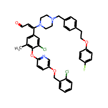 Cc1cc(/C(=C\C=O)N2CCN(Cc3ccc(CCOc4ccc(F)cc4)cc3)CC2)cc(Cl)c1Oc1ccc(OCc2ccccc2Cl)cn1